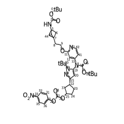 CC(C)(C)OC(=O)NC12CC(CCOc3cc(N(C(=O)OC(C)(C)C)c4cc([C@H]5CC[C@@H](OC(=O)Oc6ccc([N+](=O)[O-])cc6)C5)nn4C(C)(C)C)ccn3)(C1)C2